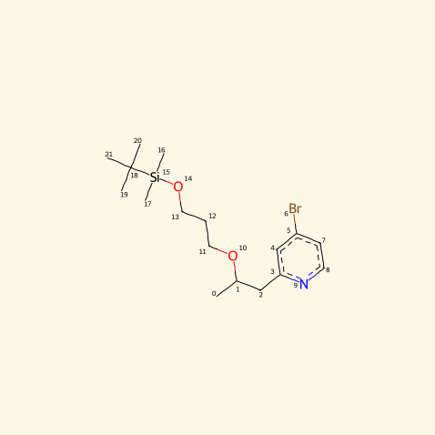 CC(Cc1cc(Br)ccn1)OCCCO[Si](C)(C)C(C)(C)C